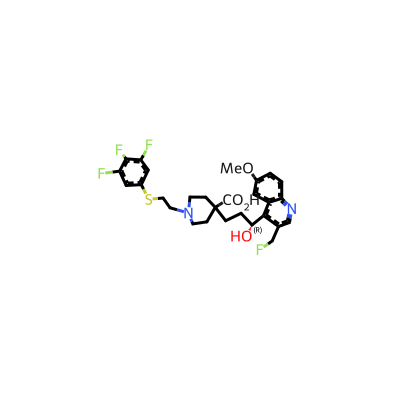 COc1ccc2ncc(CF)c([C@H](O)CCC3(C(=O)O)CCN(CCSc4cc(F)c(F)c(F)c4)CC3)c2c1